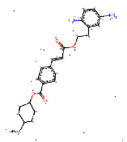 CCCCCC1CCC(OC(=O)c2ccc(/C=C/C(=O)OCCc3cc(N)ccc3N)cc2)CC1